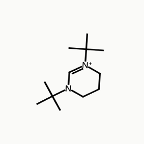 CC(C)(C)N1C=[N+](C(C)(C)C)CCC1